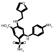 Nc1ccc(Nc2cc(NCc3ccoc3)c(C(=O)O)cc2S(N)(=O)=O)cc1